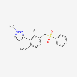 CCc1c(CS(=O)(=O)c2ccccc2)ccc(C(=O)O)c1-c1ccn(C)n1